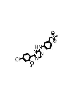 COc1cc(Cl)ccc1-c1ncnc(Nc2cccc(CS(C)(=O)=O)c2)n1